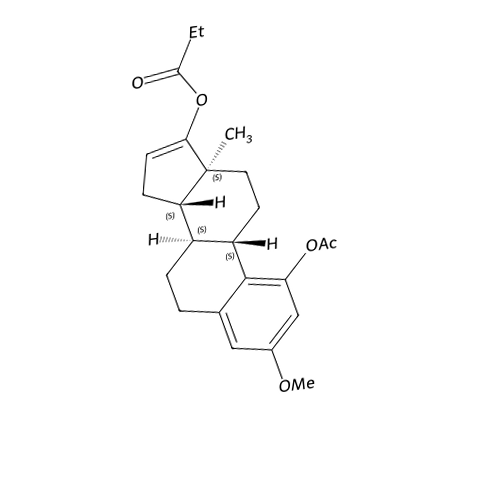 CCC(=O)OC1=CC[C@H]2[C@@H]3CCc4cc(OC)cc(OC(C)=O)c4[C@H]3CC[C@]12C